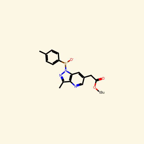 Cc1ccc([S+]([O-])n2nc(C)c3ncc(CC(=O)OC(C)(C)C)cc32)cc1